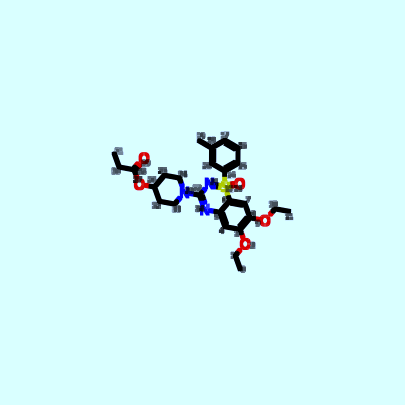 CCOc1cc2c(cc1OCC)S(=O)(c1cccc(C)c1)=NC(N1CCC(OC(=O)CC)CC1)=N2